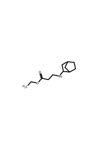 CCOC(=O)CCNC1CC2CCC1C2